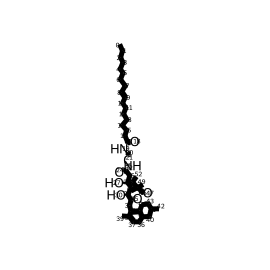 CCCCCCCCC=CCCCCCCCC(=O)NCCNC(=O)C[C@H](O)C[C@@H](O)CCC1=C2C(CC=C1C)CC(C)CC2OC(=O)C(C)(C)CC